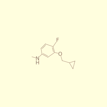 CNc1ccc(F)c(OCC2CC2)c1